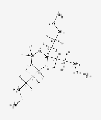 CC(C)([SiH2]O[SiH3])C(C)(C)[Si]1(C)O[Si](C)(C)O[Si](C(C)(C)C(C)(C)[SiH2]O[SiH3])(C(C)(C)C(C)(C)[SiH2]O[SiH3])O1